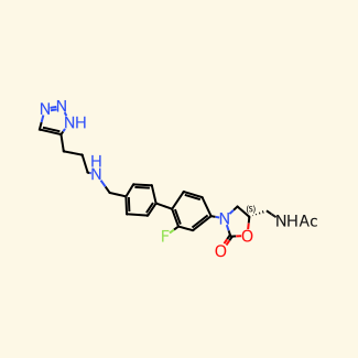 CC(=O)NC[C@H]1CN(c2ccc(-c3ccc(CNCCCc4cnn[nH]4)cc3)c(F)c2)C(=O)O1